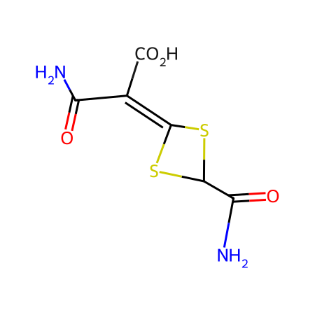 NC(=O)C(C(=O)O)=C1SC(C(N)=O)S1